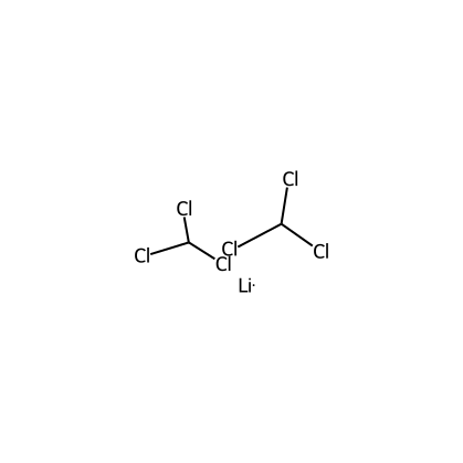 ClC(Cl)Cl.ClC(Cl)Cl.[Li]